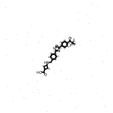 O=C(O)C1CC(NCc2ccc(-c3noc(-c4ccc(C(=O)C(F)(F)F)cc4)n3)cc2)C1